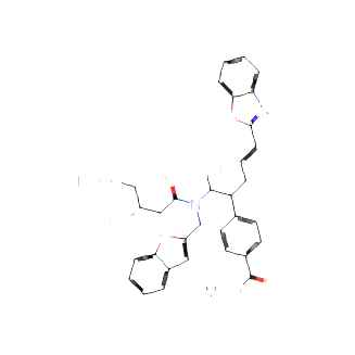 COC(=O)c1ccc(C(C/C=C/c2nc3ccccc3o2)C(C)N(Cc2cc3ccccc3o2)C(=O)C[C@H](CC(=O)O)C(=O)O)cc1